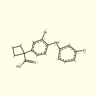 O=C(O)C1(c2ccc(Nc3cccc(Cl)c3)c(Br)c2)CCC1